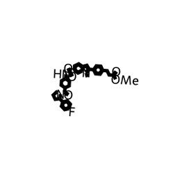 COC(=O)CCc1ccc(-c2cc3ccc(S(=O)(=O)NC4CCC(C(=O)N5CCCC5c5ccc(F)cc5)CC4)cc3n2C)cc1